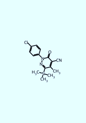 Cc1c([Si](C)(C)C)nn(-c2ccc(Cl)cc2)c(=O)c1C#N